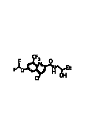 CCC(O)CNC(=O)c1cc(Cl)c2cc(OC(F)F)cc(C(F)(F)F)c2n1